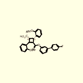 COc1ccccc1C1C(C(=O)Oc2cccc(-c3ccc(F)cc3)c2)[C@@H](c2ccccc2OC)[C@H]1C(=O)O